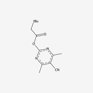 Cc1nc(OC(=O)CC(C)(C)C)nc(C)c1C#N